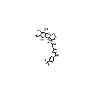 CN[C@@H]1[C@H](O)[C@H](NC)C2O[C@]3(O)C(OC2[C@H]1O)O[C@H](C)C[C@H]3NC(=O)Cc1csc(Nc2ccc(C(F)(F)F)cc2)n1